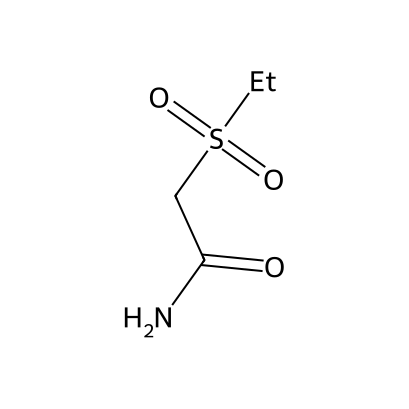 CCS(=O)(=O)CC(N)=O